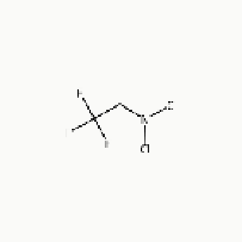 FC(F)(F)CN(Cl)Cl